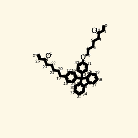 C=CC(=O)CCCCCOc1ccc(C2(c3ccc(CCCCCC(=O)C=C)cc3)c3ccccc3-c3ccccc32)cc1